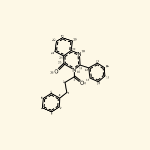 O=C(CCc1ccccc1)n1c(-c2ccccc2)nc2ccccc2c1=O